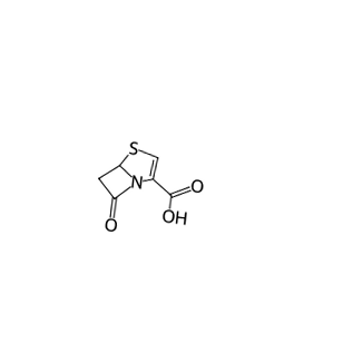 O=C(O)C1=CSC2CC(=O)N12